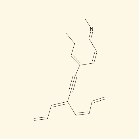 C=C/C=C\C(C#CC(/C=C\C=N\C)=C/CC)=C/C=C